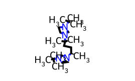 C[C@H](CCC(C)(C)N1CCN(C(C)(C)C)C1)N1C=CN(C(C)(C)C)C1